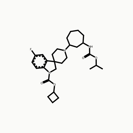 CC(C)OC(=O)NC1CCCCC(N2CCC3(CC2)CN(C(=O)OC2CCC2)c2ccc(F)cc23)C1